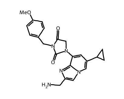 COc1ccc(CN2C(=O)CN(c3cc(C4CC4)cn4cc(CN)nc34)C2=O)cc1